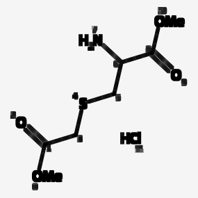 COC(=O)CSCC(N)C(=O)OC.Cl